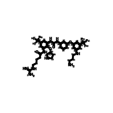 N=C(N)NCCCCC(=O)Nc1cc(C(F)(F)F)cc(NC(=O)Nc2cccc(Oc3cc(NCCCN)cc(C(F)(F)F)c3)c2)c1O[C@@H]1CCNC1